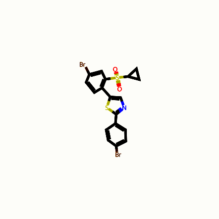 O=S(=O)(c1cc(Br)ccc1-c1cnc(-c2ccc(Br)cc2)s1)C1CC1